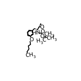 CCCCCCOc1cccc(C[C@H](NC(=O)OC(C)(C)C)[C@H]2CO2)c1